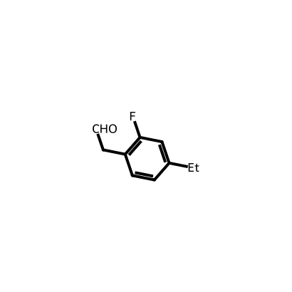 CCc1ccc(CC=O)c(F)c1